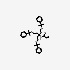 C=CC(=O)NC(CCSC(C)(C)c1ccccc1)(CCSC(C)(C)c1ccccc1)CCSC(C)(C)c1ccccc1